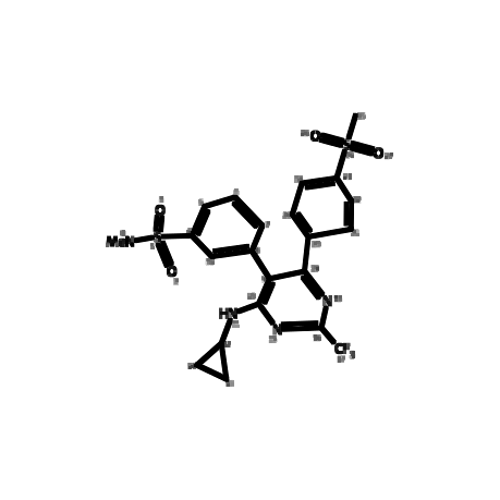 CNS(=O)(=O)c1cccc(-c2c(NC3CC3)nc(C(F)(F)F)nc2-c2ccc(S(C)(=O)=O)cc2)c1